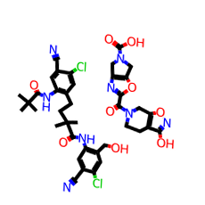 CC(C)(C)C(=O)Nc1cc(C#N)c(Cl)cc1CCC(C)(C)C(=O)Nc1cc(C#N)c(Cl)cc1CO.O=C(O)N1Cc2nc(C(=O)N3CCc4c(O)noc4C3)oc2C1